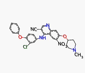 CN1CCC(Oc2cc3ncc(C#N)c(Nc4ccc(Oc5ccccc5)c(Cl)c4)c3cc2[N+](=O)[O-])CC1